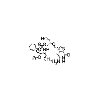 C=C[C@H](NP(=O)(OCC(CO)OCn1cnc2c(=O)[nH]c(N)nc21)Oc1ccccc1)C(=O)OC(C)C